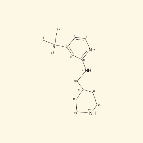 CC(C)(C)c1ccnc(NCC2CCNCC2)c1